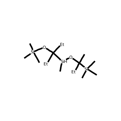 CCC(CC)(O[Si](C)(C)C)[SiH](C)OC(C)(CC)[Si](C)(C)C